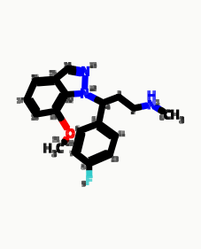 CNCCC(c1ccc(F)cc1)n1ncc2cccc(OC)c21